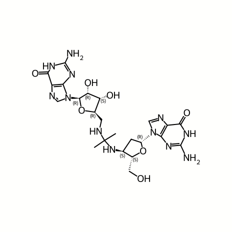 CC(C)(NC[C@H]1O[C@@H](n2cnc3c(=O)[nH]c(N)nc32)[C@H](O)[C@@H]1O)N[C@H]1C[C@H](n2cnc3c(=O)[nH]c(N)nc32)O[C@@H]1CO